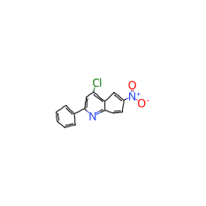 O=[N+]([O-])c1ccc2nc(-c3ccccc3)cc(Cl)c2c1